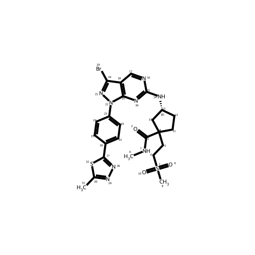 CNC(=O)C1(CCS(C)(=O)=O)CC[C@@H](Nc2ncc3c(Br)nn(-c4ccc(-c5nnc(C)s5)cc4)c3n2)C1